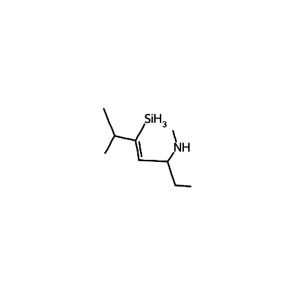 CCC(C=C([SiH3])C(C)C)NC